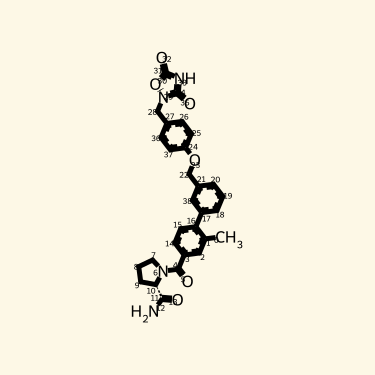 Cc1cc(C(=O)N2CCC[C@H]2C(N)=O)ccc1-c1cccc(COc2ccc(Cn3oc(=O)[nH]c3=O)cc2)c1